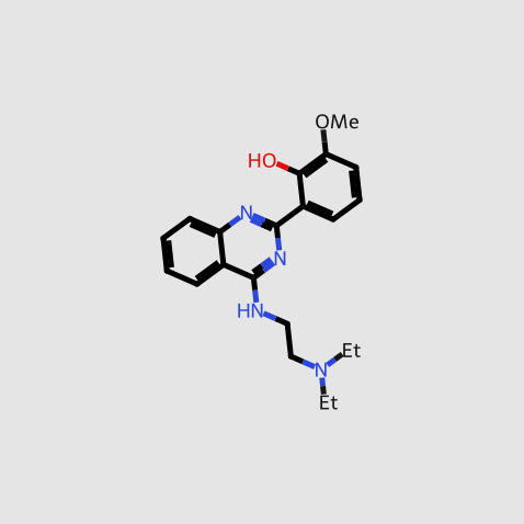 CCN(CC)CCNc1nc(-c2cccc(OC)c2O)nc2ccccc12